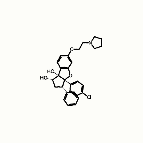 O[C@H]1C[C@@H](c2ccccc2)[C@]2(c3ccc(Cl)cc3)Oc3cc(OCCN4CCCC4)ccc3[C@]12O